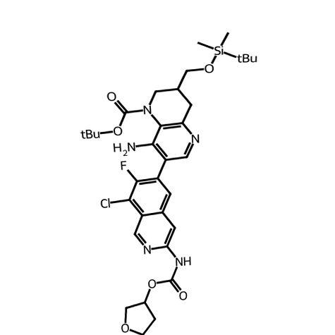 CC(C)(C)OC(=O)N1CC(CO[Si](C)(C)C(C)(C)C)Cc2ncc(-c3cc4cc(NC(=O)OC5CCOC5)ncc4c(Cl)c3F)c(N)c21